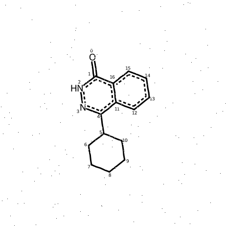 O=c1[nH]nc(C2CCCCC2)c2ccccc12